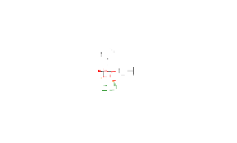 CC(C)(Cc1ccccc1)OC(=O)C(F)(F)Br